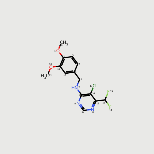 COc1ccc(CNc2ncnc(C(F)F)c2Cl)cc1OC